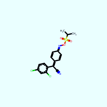 CC(C)S(=O)(=O)ON=C1C=CC(=C(C#N)c2ccc(Cl)cc2Cl)C=C1